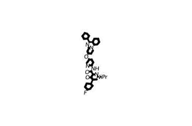 CC(C)n1cc(-c2ccc(F)cc2)c(=O)c(C(=O)Nc2ccc(Oc3ccnc(N=C(c4ccccc4)c4ccccc4)c3)cn2)n1